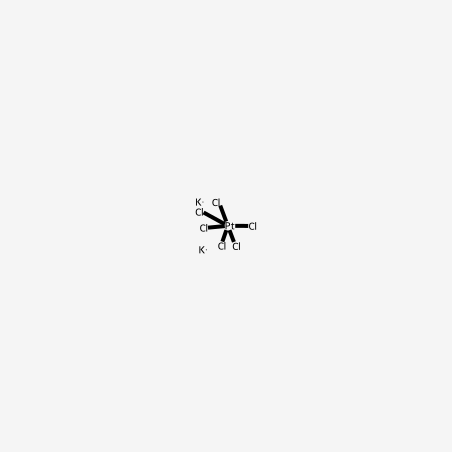 [Cl][Pt]([Cl])([Cl])([Cl])([Cl])[Cl].[K].[K]